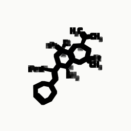 C=C(C)[C@@H]1CC2=C(CC(C)(CC)C1)[C@H](N)C(C(=CC1CCC=CCC1)[C@H](C)CCC)C[C@@]2(CC)CCC